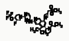 C=CC(=O)N1CCC[C@@H]1c1cc(N2CC(CS(C)(=O)=O)C2)c2cnc(Nc3ccnc(N4CC[C@@H](OC(F)(F)F)[C@@H](F)C4)n3)cc2c1C(C)C